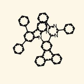 c1ccc(-c2cc(-c3ccccc3)c3c4ccccc4n(-c4cc5c6ccccc6c6ccccc6c5cc4-c4nc(-c5ccccc5)nc(-c5ccccc5)n4)c3c2)cc1